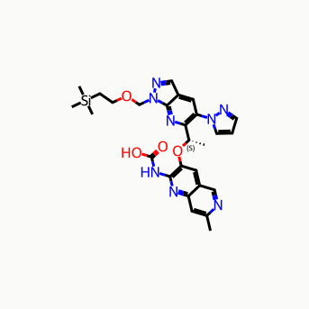 Cc1cc2nc(NC(=O)O)c(O[C@@H](C)c3nc4c(cnn4COCC[Si](C)(C)C)cc3-n3cccn3)cc2cn1